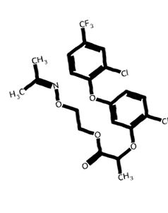 CC(C)=NOCCOC(=O)C(C)Oc1cc(Oc2ccc(C(F)(F)F)cc2Cl)ccc1C#N